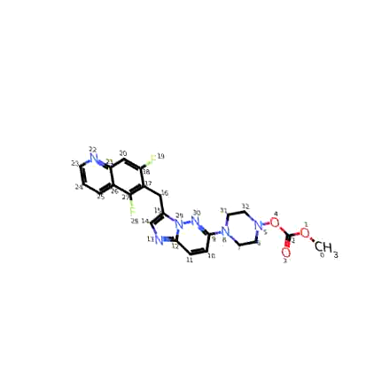 COC(=O)ON1CCN(c2ccc3ncc(Cc4c(F)cc5ncccc5c4F)n3n2)CC1